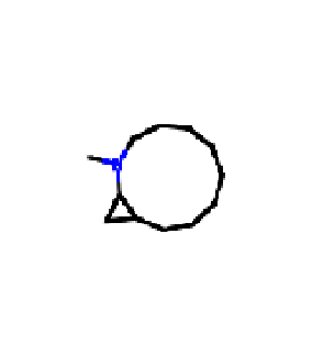 CN1CCCCCCCCC2CC21